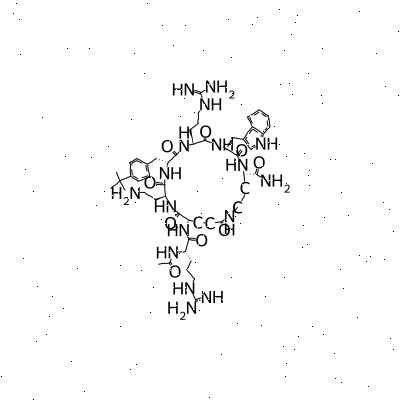 CC(=O)N[C@@H](CCCNC(=N)N)C(=O)N[C@H]1CCC(=O)NCCC[C@@H](C(N)=O)NC(=O)[C@H](Cc2c[nH]c3ccccc23)NC(=O)[C@H](CCCNC(=N)N)NC(=O)[C@@H](Cc2ccc(C(C)(C)C)cc2)NC(=O)[C@H](CCN)NC1=O